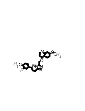 COc1ccc2c(OCc3nnc4ccc(-c5ccc(C)c(F)c5)nn34)ccnc2c1